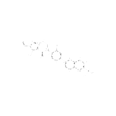 Cc1cc(-c2ccc3nc(C(F)(F)F)ccc3n2)ccc1N1CCn2nc(C=O)c(C)c2C1=O